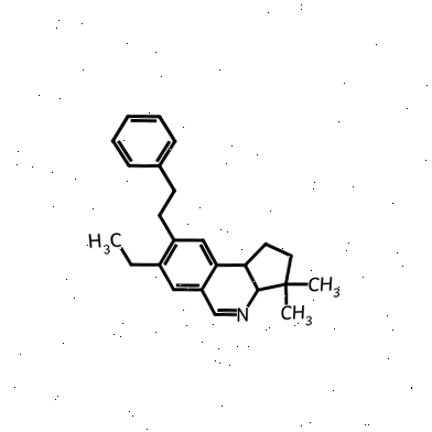 CCc1cc2c(cc1CCc1ccccc1)C1CCC(C)(C)C1N=C2